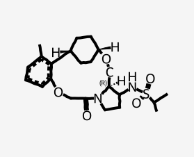 Cc1cccc2c1[C@H]1CC[C@H](CC1)OC[C@H]1C(NS(=O)(=O)C(C)C)CCN1C(=O)CO2